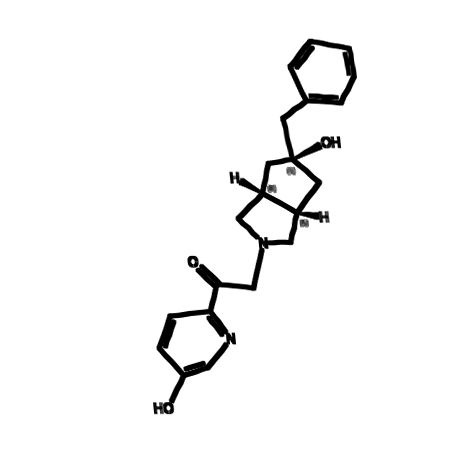 O=C(CN1C[C@@H]2C[C@](O)(Cc3ccccc3)C[C@@H]2C1)c1ccc(O)cn1